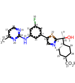 C[C@@](O)(c1ncc(-c2cc(F)cc(Nc3nccc(C(F)(F)F)n3)c2)s1)[C@H]1CC[C@H](C(=O)O)CC1